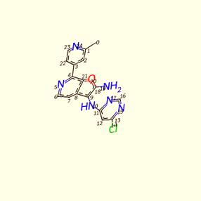 Cc1cc(-c2nccc3c(Nc4cc(Cl)ncn4)c(N)oc23)ccn1